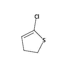 ClC1=CCCS1